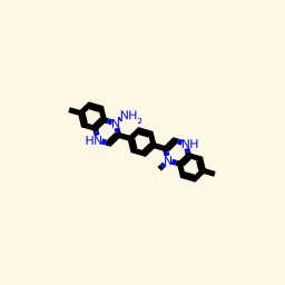 Cc1ccc2c(c1)NC=C(c1ccc(C3=CNc4cc(C)ccc4N3N)cc1)N2C